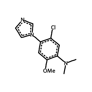 COc1cc(-n2ccnc2)c(Cl)cc1N(C)C